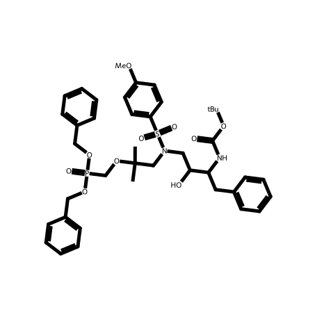 COc1ccc(S(=O)(=O)N(CC(O)C(Cc2ccccc2)NC(=O)OC(C)(C)C)CC(C)(C)OCP(=O)(OCc2ccccc2)OCc2ccccc2)cc1